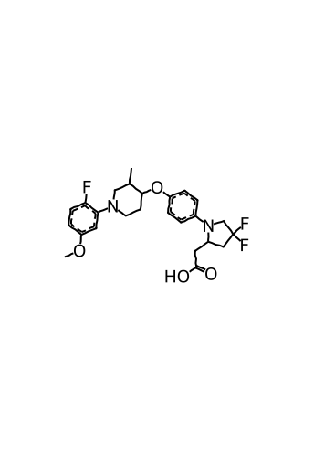 COc1ccc(F)c(N2CCC(Oc3ccc(N4CC(F)(F)CC4CC(=O)O)cc3)C(C)C2)c1